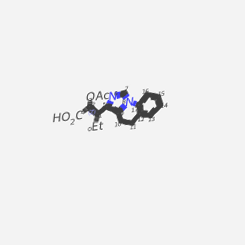 CC/C(=C(/OC(C)=O)C(=O)O)c1ncn2c1CCc1ccccc1-2